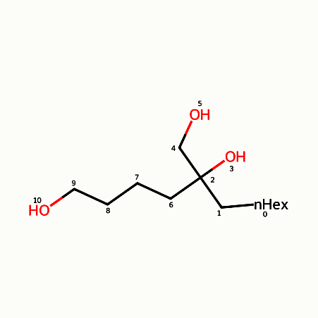 CCCCCCCC(O)(CO)CCCCO